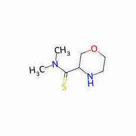 CN(C)C(=S)C1COCCN1